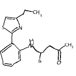 CCc1csc(-c2ccccc2NC(Br)CC(C)=O)n1